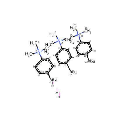 CCCCc1ccc([N+](C)(C)C)cc1.CCCCc1ccc([N+](C)(C)C)cc1.CCCCc1ccc([N+](C)(C)C)cc1.[I-].[I-].[I-]